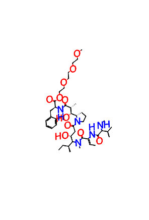 C/C=C(\NC(=O)[C@@H](NC)C(C)C)C(=O)N(C)[C@H]([C@H](O)CC(=O)N1CCC[C@H]1[C@H](O)[C@@H](C)C(=O)N[C@@H](Cc1ccccc1)C(=O)OCCOCCOCCOC)[C@@H](C)CC